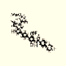 COC(=O)N[C@H](C(=O)N1CC(C)=C[C@H]1c1nc(-c2ccc(-c3cc(Cl)c(NC(=O)c4ccc(N5CCNC[C@H]5C)nc4)cc3OC(F)(F)F)cc2)c[nH]1)C(C)C